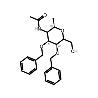 CC(=O)NC1[C@@H](C)OC(CO)[C@@H](OCc2ccccc2)[C@H]1OCc1ccccc1